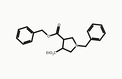 CCOC(=O)C1CN(Cc2ccccc2)CC1C(=O)OCc1ccccc1